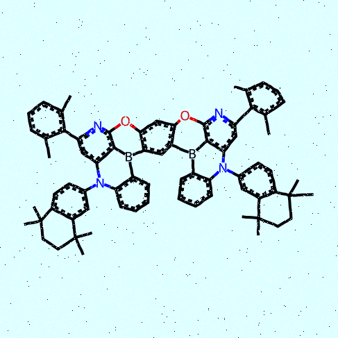 Cc1cccc(C)c1-c1cc2c3c(n1)Oc1cc4c(cc1B3c1ccccc1N2c1ccc2c(c1)C(C)(C)CCC2(C)C)B1c2ccccc2N(c2ccc3c(c2)C(C)(C)CCC3(C)C)c2cc(-c3c(C)cccc3C)nc(c21)O4